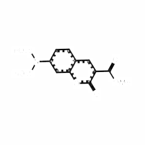 CCCCCCCCN(CCCCCCCC)c1ccc2cc(C(=O)OC)c(=O)oc2c1